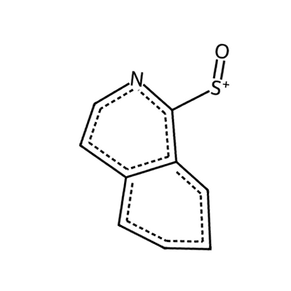 O=[S+]c1nccc2ccccc12